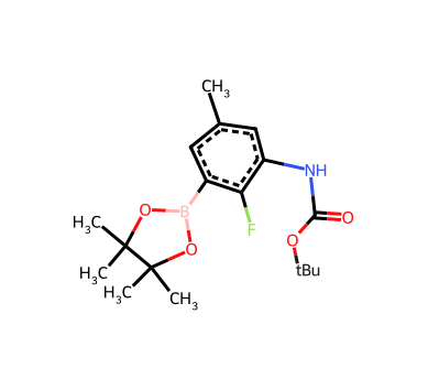 Cc1cc(NC(=O)OC(C)(C)C)c(F)c(B2OC(C)(C)C(C)(C)O2)c1